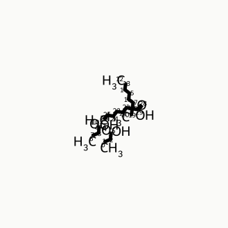 CCCC(=O)O.CCCC(=O)O.CCCCCCC(CC)(CCCCCC)C(=O)O